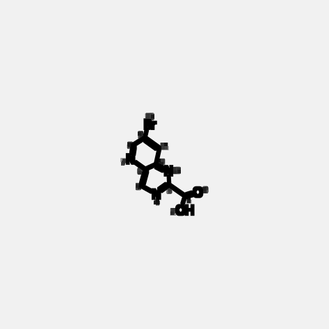 O=C(O)c1ncc2ncc(Br)cc2n1